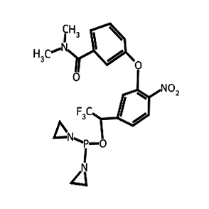 CN(C)C(=O)c1cccc(Oc2cc(C(OP(N3CC3)N3CC3)C(F)(F)F)ccc2[N+](=O)[O-])c1